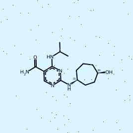 CC(C)Nc1nc(N[C@H]2CCC[C@@H](O)CC2)ncc1C(N)=O